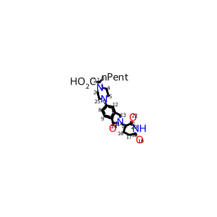 CCCCCC(C(=O)O)N1CCN(c2ccc3c(c2)CN(C2CCC(=O)NC2=O)C3=O)CC1